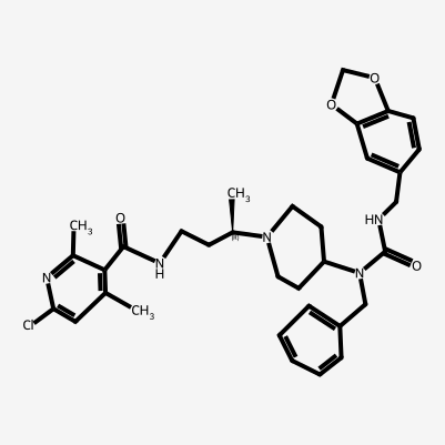 Cc1cc(Cl)nc(C)c1C(=O)NCC[C@@H](C)N1CCC(N(Cc2ccccc2)C(=O)NCc2ccc3c(c2)OCO3)CC1